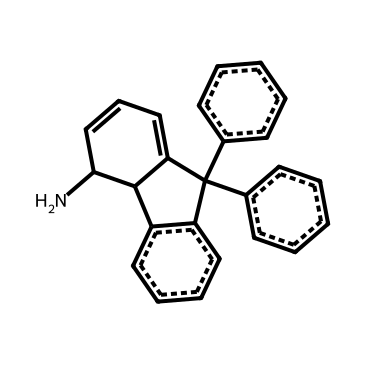 NC1C=CC=C2C1c1ccccc1C2(c1ccccc1)c1ccccc1